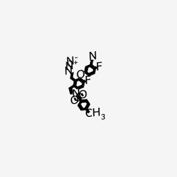 Cc1ccc(S(=O)(=O)n2ccc3c(CCN=[N+]=[N-])c(Oc4ccc(F)c(C#N)c4)c(F)cc32)cc1